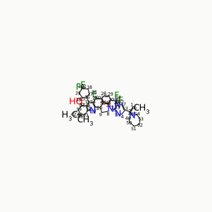 CC=C(c1cnc(N2CCC(c3nc4c(c(C5CCC(F)(F)CC5)c3[C@@H](F)c3ccc(C(F)(F)F)cc3)[C@@H](O)CC(C)(C)C4)CC2)nc1)N1CCCCCC1